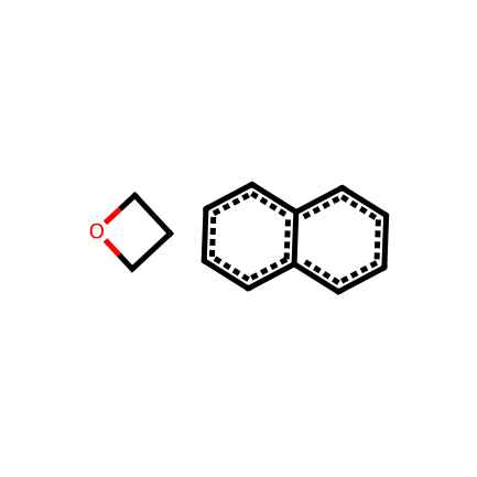 C1COC1.c1ccc2ccccc2c1